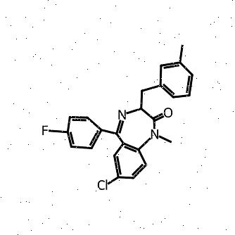 Cc1cccc(CC2N=C(c3ccc(F)cc3)c3cc(Cl)ccc3N(C)C2=O)c1